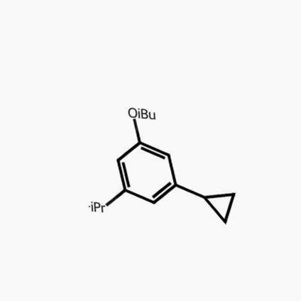 C[C](C)c1cc(OCC(C)C)cc(C2CC2)c1